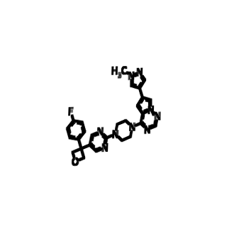 Cn1cc(-c2cc3c(N4CCN(c5ncc(C6(c7ccc(F)cc7)COC6)cn5)CC4)ncnn3c2)cn1